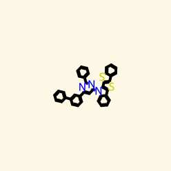 c1ccc(-c2cccc(-c3cc(-n4c5ccccc5c5sc6c7ccccc7sc6c54)nc(-c4ccccc4)n3)c2)cc1